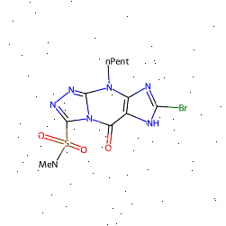 CCCCCn1c2nc(Br)[nH]c2c(=O)n2c(S(=O)(=O)NC)nnc12